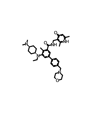 CCN(c1cc(-c2ccc(CN3CCOCC3)cc2)cc(C(=O)NCc2c(C)[nH]c(C)cc2=O)c1C)[C@H]1CC[C@H](N(C)C)CC1